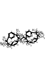 CC1(C)c2ccc(cc2)C(C)(C)C(C)(CCC2(C)c3ccc(nc3)C(C)(C)C(C)(C)c3cnc(nc3)C2(C)C)c2ccc(cn2)C1(C)C